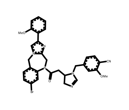 COc1cc(CN2C=NCC2CC(=O)N2Cc3nc(-c4ccccc4OC)cn3Cc3ccc(Br)cc32)ccc1C#N